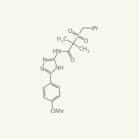 COc1ccc(-c2nnc(NC(=O)C(C)(C)S(=O)(=O)CC(C)C)[nH]2)cc1